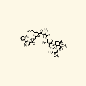 CO[C@@H]1[C@H](OC(=O)N[C@@H](COC(=O)[C@H](C)NC(=O)[C@H](CCSC)NC(=O)CNC(=O)[C@@H](CC(=O)[C@@H]2CCCN2C(C)=O)CC(C)C)C(C)C)CC[C@]2(CO2)[C@H]1[C@@]1(C)O[C@@H]1CC=C(C)C